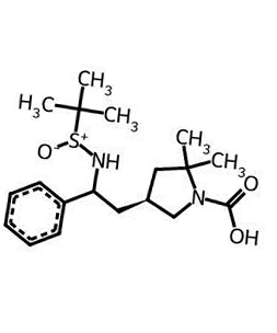 CC1(C)C[C@H](CC(N[S+]([O-])C(C)(C)C)c2ccccc2)CN1C(=O)O